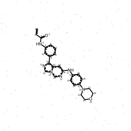 C=CC(=O)Nc1cccc(-c2ncn3cnc(Nc4ccc(N5CCOCC5)cc4)cc23)c1